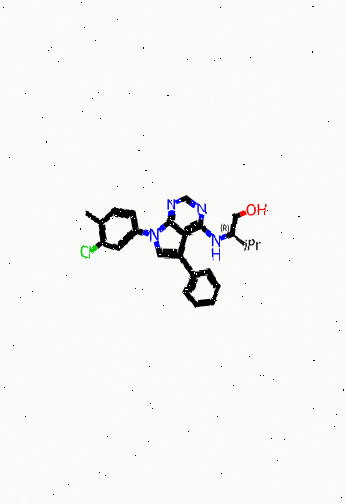 Cc1ccc(-n2cc(-c3ccccc3)c3c(N[C@@H](CO)C(C)C)ncnc32)cc1Cl